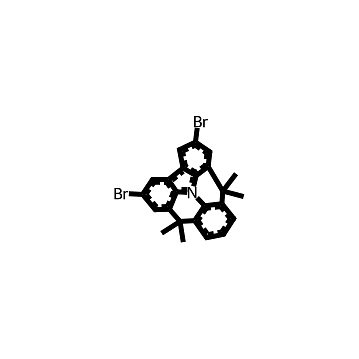 CC1(C)c2cccc3c2-n2c4c1cc(Br)cc4c1cc(Br)cc(c12)C3(C)C